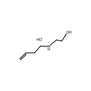 C=CCCNCCO.Cl